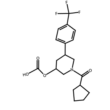 O=C(O)OC1CC(c2ccc(C(F)(F)F)cc2)CN(C(=O)C2CCCC2)C1